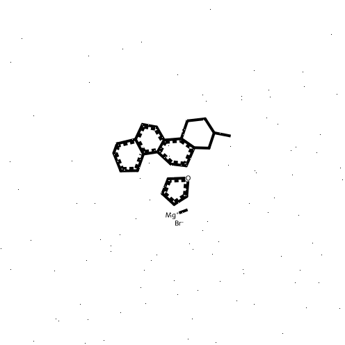 CC1CCc2c(ccc3c2ccc2ccccc23)C1.[Br-].[CH3][Mg+].c1ccoc1